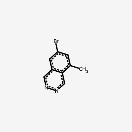 Cc1cc(Br)cc2cnncc12